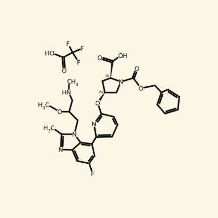 CNCC(Cn1c(C)nc2cc(F)cc(-c3cccc(O[C@H]4C[C@@H](C(=O)O)N(C(=O)OCc5ccccc5)C4)n3)c21)OC.O=C(O)C(F)(F)F